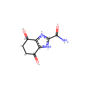 NC(=O)c1nc2c([nH]1)C(=O)CCC2=O